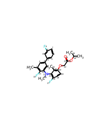 Cc1cc(-c2cccc(F)c2)cc(N(C)c2c(F)ccc(OCC(=O)OC(C)C)c2C)c1F